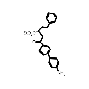 CCOC(=O)[C@H](CCc1ccccc1)CC(=O)c1ccc(-c2ccc(N)cc2)cc1